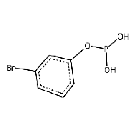 OP(O)Oc1cccc(Br)c1